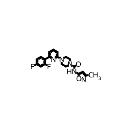 Cc1cc(NC(=O)N2CCN(c3cccc(-c4ccc(F)cc4F)n3)CC2)on1